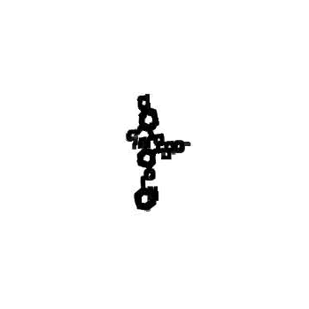 O=C(Nc1ccc(OCc2ccccn2)cc1C(=O)[O-])c1ccc(Cl)cc1Cl.[Li+]